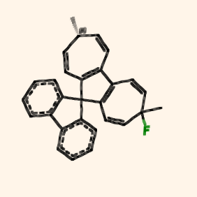 C[C@@H]1C=CC2=C(C=C1)C1(C3=C2C=CC(C)(F)C=C3)c2ccccc2-c2ccccc21